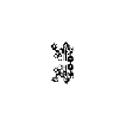 O=C(O)N[C@@H](CC(=O)N1CCC[C@H]1c1ncc(-c2ccc(-c3ccc(-c4cnc([C@@H]5CCCN5C(=O)C[C@@H](Cc5cccs5)NC(=O)O)[nH]4)cc3)cc2)[nH]1)Cc1cccs1